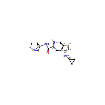 O=C(NC1CN2CCC1C2)c1cc2c(NC3CC3)csc2cn1